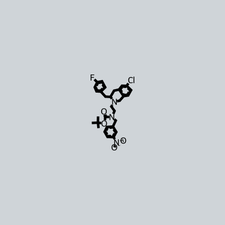 CC(C)(C)OC(=O)N(CCN1Cc2ccc(Cl)cc2CC1Cc1ccc(F)cc1)Cc1cccc([N+](=O)[O-])c1